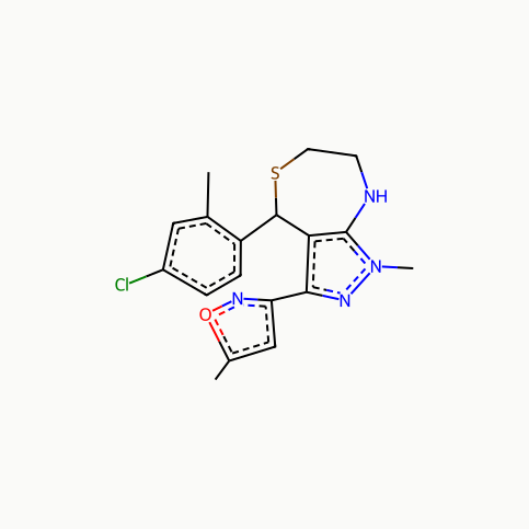 Cc1cc(-c2nn(C)c3c2C(c2ccc(Cl)cc2C)SCCN3)no1